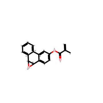 C=C(C)C(=O)Oc1ccc2c(c1)-c1ccccc1C1OC21